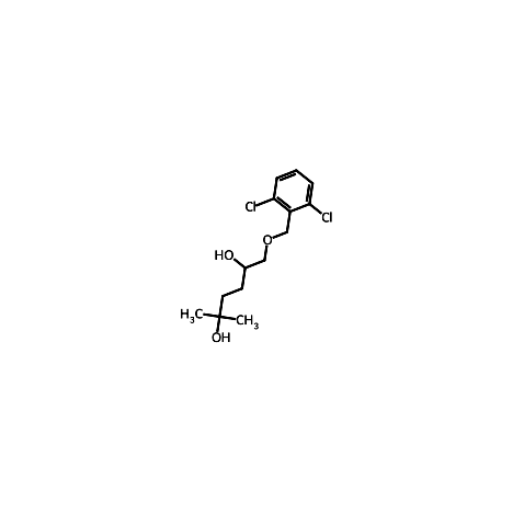 CC(C)(O)CCC(O)COCc1c(Cl)cccc1Cl